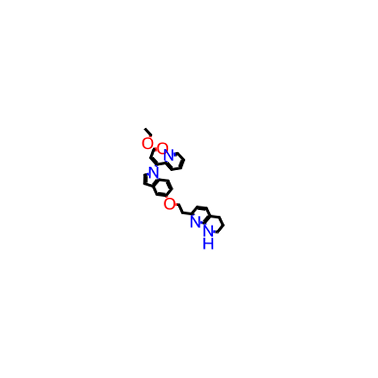 CCOC(=O)C=C(c1ccccn1)n1ccc2cc(OCCc3ccc4c(n3)NCCC4)ccc21